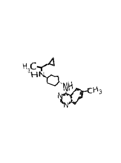 Cc1ccc2ncnc(N[C@H]3CC[C@H](NC(C)C4CC4)CC3)c2c1